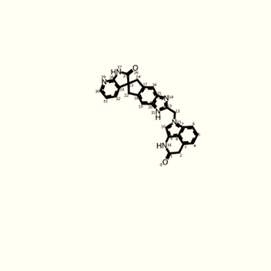 O=C1Cc2cccc3c2c(cn3Cc2nc3cc4c(cc3[nH]2)CC2(C4)C(=O)Nc3ncccc32)N1